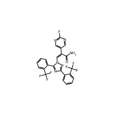 NC(=O)C(=Cn1nc(-c2ccccc2C(F)(F)F)nc1-c1ccccc1C(F)(F)F)c1cnc(F)nc1